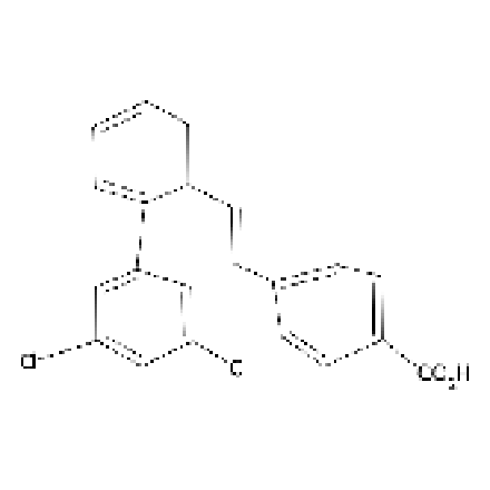 O=C(O)c1ccc(C=Cc2ccccc2-c2cc(Cl)cc(Cl)c2)cc1